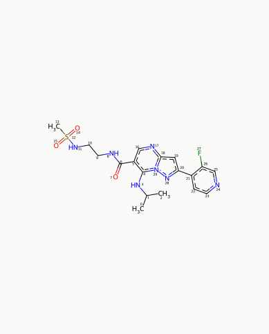 CC(C)Nc1c(C(=O)NCCNS(C)(=O)=O)cnc2cc(-c3ccncc3F)nn12